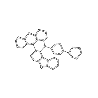 c1ccc(-c2ccc(N(c3ccccc3)c3c(-c4cccc5ccccc45)ccc4oc5ccccc5c34)cc2)cc1